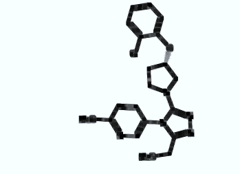 COCc1nnc(N2CC[C@H](Oc3ccccc3Cl)C2)n1-c1ccc(OC)nc1